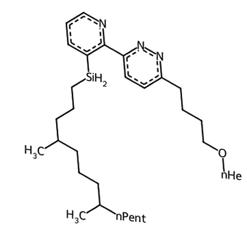 CCCCCCOCCCCc1ccc(-c2ncccc2[SiH2]CCCC(C)CCCC(C)CCCCC)nn1